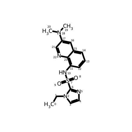 CCn1ccnc1S(=O)(=O)Nc1cccc2cc(N(C)C)cnc12